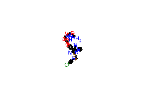 CC(N)C(=O)NC(C)C(=O)NC(C)C(=O)OCCOc1ccc(-c2c(C#N)c(SCc3csc(-c4ccc(Cl)cc4)n3)nc(N3CCCC3)c2C#N)cc1